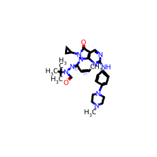 C/C=C\C(=N/N(C=O)C(C)(C)C)n1c2nc(Nc3ccc(N4CCN(C)CC4)cc3)ncc2c(=O)n1C1CC1